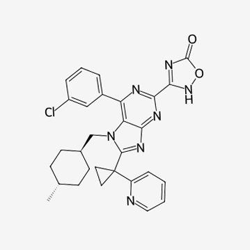 C[C@H]1CC[C@H](Cn2c(C3(c4ccccn4)CC3)nc3nc(-c4nc(=O)o[nH]4)nc(-c4cccc(Cl)c4)c32)CC1